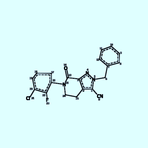 N#Cc1c2c(nn1Cc1ccccc1)C(=O)N(c1cccc(Cl)c1F)CC2